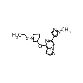 C=CSN1CCCC(Oc2nc(-c3cnn(C)c3)cn3nccc23)C1